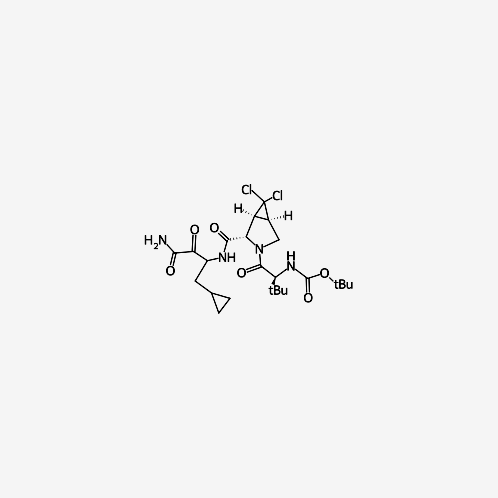 CC(C)(C)OC(=O)N[C@H](C(=O)N1C[C@H]2[C@@H]([C@H]1C(=O)NC(CC1CC1)C(=O)C(N)=O)C2(Cl)Cl)C(C)(C)C